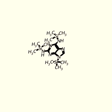 C[Si](C)(C)Nc1nc(N[Si](C)(C)C)c2ncn([Si](C)(C)C)c2n1